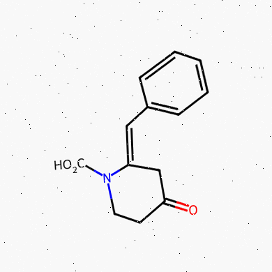 O=C1CCN(C(=O)O)/C(=C/c2ccccc2)C1